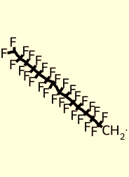 [CH2]C(F)(F)C(F)(F)C(F)(F)C(F)(F)C(F)(F)C(F)(F)C(F)(F)C(F)(F)C(F)(F)C(F)(F)C(F)(F)C(F)(F)C(F)(F)C(F)F